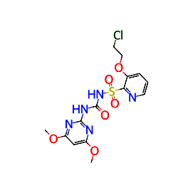 COc1cc(OC)nc(NC(=O)NS(=O)(=O)c2ncccc2OCCCl)n1